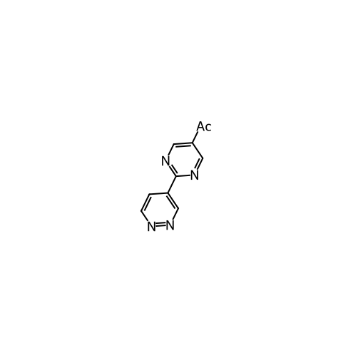 CC(=O)c1cnc(-c2ccnnc2)nc1